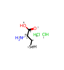 Cl.Cl.N[C@@H](C[SeH])C(=O)O